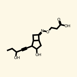 CCC(O)C#CC1C(O)CC2C(=NOCCC(=O)O)CC21